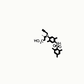 C#CCN(c1cc(C)c(NS(=O)(=O)c2c(C)cc(C)cc2C)cc1C)[C@@H](C)CC(=O)O